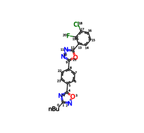 CCCCc1noc(-c2ccc(-c3nnc(-c4cccc(Cl)c4F)o3)cc2)n1